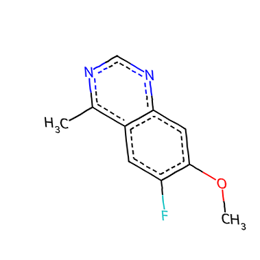 COc1cc2ncnc(C)c2cc1F